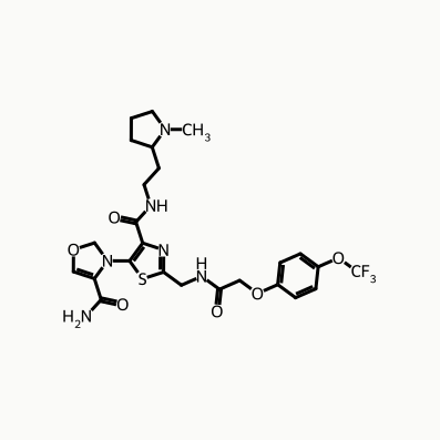 CN1CCCC1CCNC(=O)c1nc(CNC(=O)COc2ccc(OC(F)(F)F)cc2)sc1N1COC=C1C(N)=O